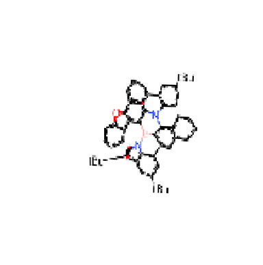 CC(C)(C)c1ccc(N2c3ccc4oc5ccccc5c4c3B3c4c(cc5ccccc5c42)-c2cc(C(C)(C)C)cc4c5cc(C(C)(C)C)ccc5n3c24)c(-c2ccccc2)c1